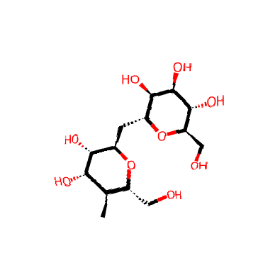 C[C@H]1[C@H](O)[C@H](O)[C@@H](C[C@H]2O[C@H](CO)[C@@H](O)[C@H](O)[C@@H]2O)O[C@@H]1CO